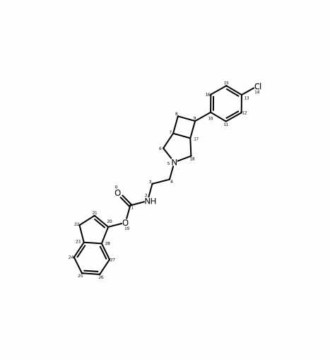 O=C(NCCN1CC2CC(c3ccc(Cl)cc3)C2C1)OC1=CCc2ccccc21